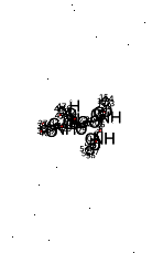 O=C(NCCCCC(NC(=O)OC1CCCCC1)C(=O)OCCOC(=O)C(CCCCNC(=O)OC1CCCCC1)NC(=O)OC1CCCCC1)OC1CCCCC1